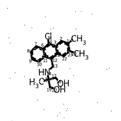 Cc1cc2c(Cl)c3ccccc3c(CNC(C)(CO)CO)c2cc1C